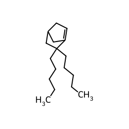 CCCCCC1(CCCCC)CC2CC=C1C2